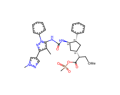 COCC(C(=O)OS(C)(=O)=O)[C@@H]1C[C@@H](NC(=O)Nc2c(C)c(-c3cnn(C)c3)nn2-c2ccccc2)[C@H](c2ccccc2)C1